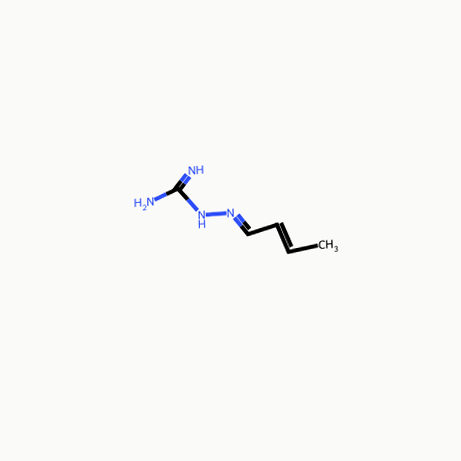 C/C=C/C=N/NC(=N)N